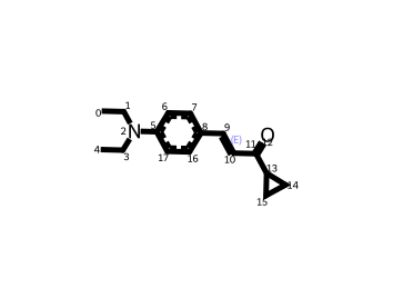 CCN(CC)c1ccc(/C=C/C(=O)C2CC2)cc1